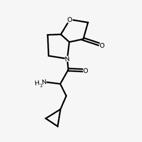 NC(CC1CC1)C(=O)N1CCC2OCC(=O)C21